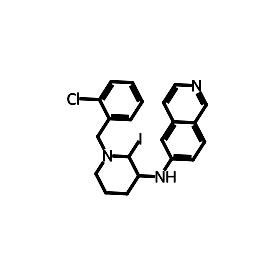 Clc1ccccc1CN1CCCC(Nc2ccc3cnccc3c2)C1I